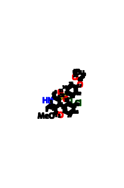 COC(=O)C1=C(C)NC(C)=C(S(=O)(=O)c2ccc(OC(C)OC(C)(C)C)cc2)C1c1cccc(Cl)c1Cl